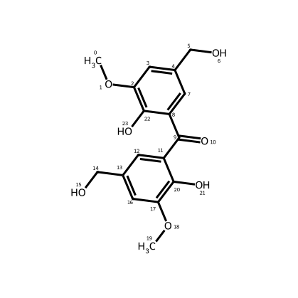 COc1cc(CO)cc(C(=O)c2cc(CO)cc(OC)c2O)c1O